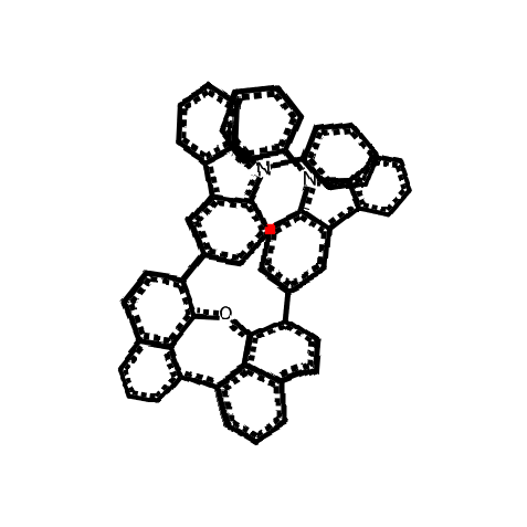 c1ccc(-n2c3ccccc3c3cc(-c4ccc5cccc6c7cccc8ccc(-c9ccc%10c(c9)c9ccccc9n%10-c9ccccc9)c(oc4c56)c87)ccc32)cc1